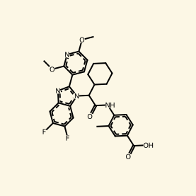 COc1ccc(-c2nc3cc(F)c(F)cc3n2C(C(=O)Nc2ccc(C(=O)O)cc2C)C2CCCCC2)c(OC)n1